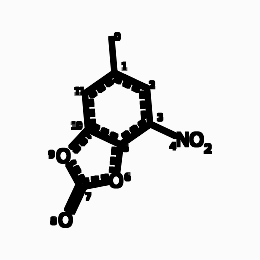 Cc1cc([N+](=O)[O-])c2oc(=O)oc2c1